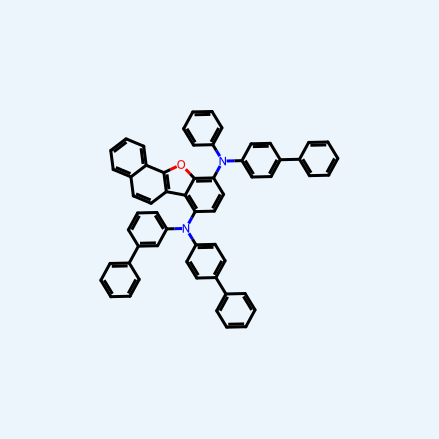 c1ccc(-c2ccc(N(c3ccccc3)c3ccc(N(c4ccc(-c5ccccc5)cc4)c4cccc(-c5ccccc5)c4)c4c3oc3c5ccccc5ccc34)cc2)cc1